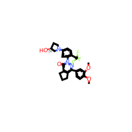 COc1ccc(-c2nn(-c3cc(N4CC[C@H](O)C4)ccc3C(F)(F)F)c(=O)c3c2CCC3)cc1OC